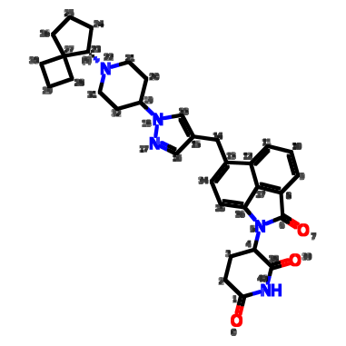 O=C1CCC(N2C(=O)c3cccc4c(Cc5cnn(C6CCN([C@H]7CCCC78CCC8)CC6)c5)ccc2c34)C(=O)N1